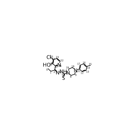 CC/C(=N/NC(=S)N1CCN(c2ccc(C)cc2)CC1)c1nccc(Cl)c1O